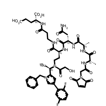 C[C@H](NC(=O)CN1C(=O)C=CC1=O)C(=O)N[C@@H](C)C(=O)N[C@@H](CC(N)=O)C(=O)N[C@@H](CCN(C(=O)CO)[C@@H](c1cc(-c2cc(F)ccc2F)cn1Cc1ccccc1)C(C)(C)C)C(=O)NCCC(=O)N[C@H](CCC(=O)O)C(=O)O